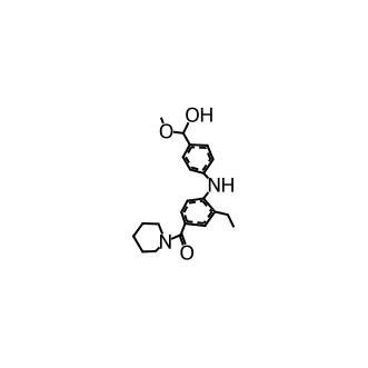 CCc1cc(C(=O)N2CCCCC2)ccc1Nc1ccc(C(O)OC)cc1